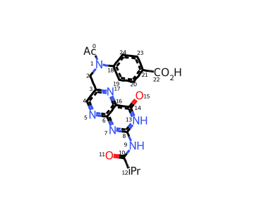 CC(=O)N(Cc1cnc2nc(NC(=O)C(C)C)[nH]c(=O)c2n1)c1ccc(C(=O)O)cc1